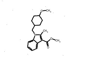 COC(=O)c1c(C)n(CC2CCC(OC)CC2)c2ccccc12